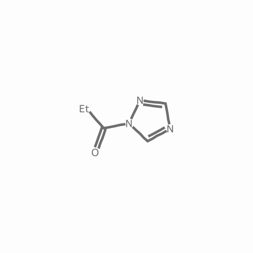 CCC(=O)n1cncn1